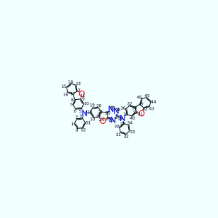 c1ccc(N(c2ccc3c(c2)oc2ccccc23)c2ccc3c(c2)oc2nc(N(c4ccccc4)c4ccc5c(c4)oc4ccccc45)nnc23)cc1